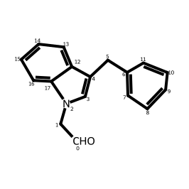 O=CCn1cc(Cc2ccccc2)c2ccccc21